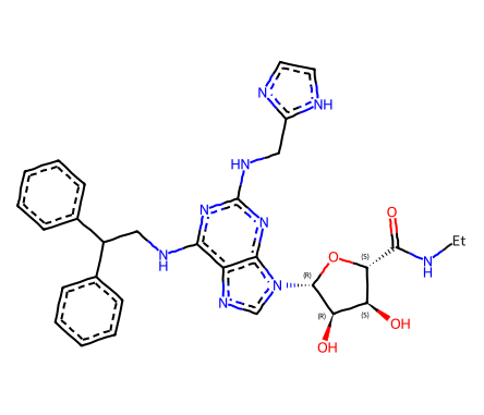 CCNC(=O)[C@H]1O[C@@H](n2cnc3c(NCC(c4ccccc4)c4ccccc4)nc(NCc4ncc[nH]4)nc32)[C@H](O)[C@@H]1O